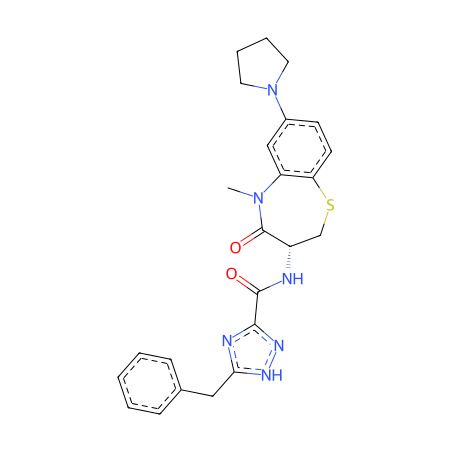 CN1C(=O)[C@@H](NC(=O)c2n[nH]c(Cc3ccccc3)n2)CSc2ccc(N3CCCC3)cc21